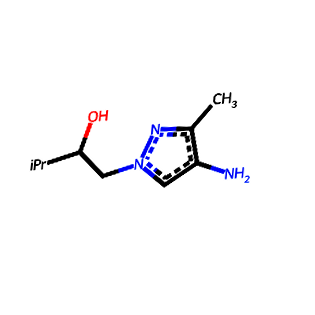 Cc1nn(CC(O)C(C)C)cc1N